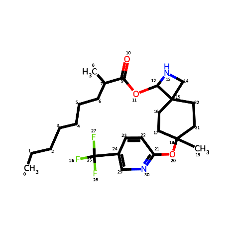 CCCCCCCC(C)C(=O)OC1NCC12CCC(C)(Oc1ccc(C(F)(F)F)cn1)CC2